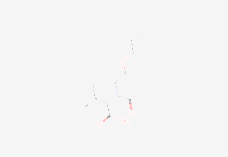 CC[C@H](C)[C@@H](C(=O)O)N(CCOCCF)C(C)=O